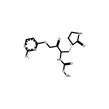 CC(C)(C)OC(=O)NC(C[C@@H]1CCNC1=O)C(=O)COc1ccnc(C(F)(F)F)n1